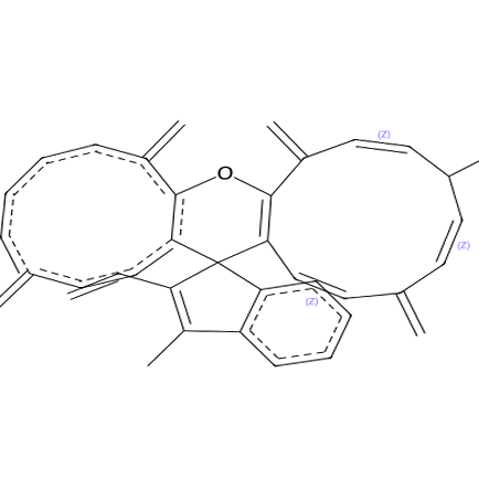 C=CC1=C(C)c2ccccc2C12C1=C(Oc3c2ccc(=C)ccccc3=C)C(=C)/C=C\C(C)/C=C\C(=C)/C=C\1